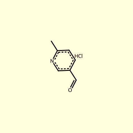 Cc1ccc(C=O)cn1.Cl